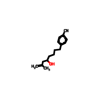 C=C(C)CC(O)CCCCc1ccc(C#N)cc1